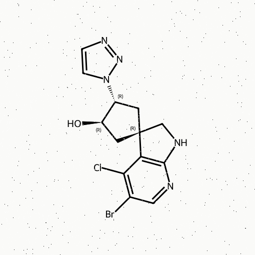 O[C@@H]1C[C@]2(CNc3ncc(Br)c(Cl)c32)C[C@H]1n1ccnn1